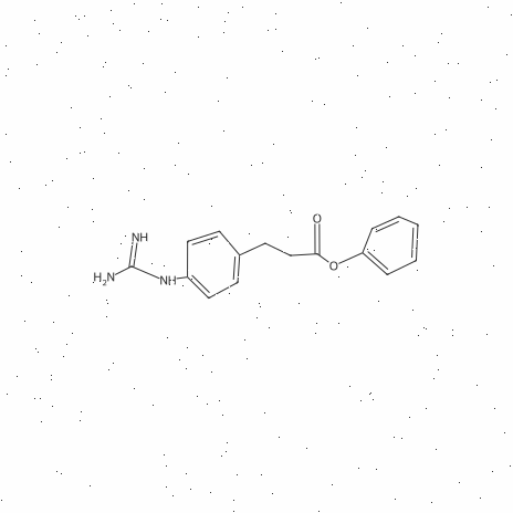 N=C(N)Nc1ccc(CCC(=O)Oc2ccccc2)cc1